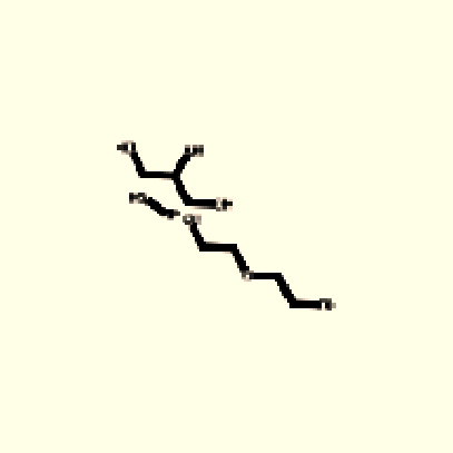 CC(C)O.OCC(O)CO.OCCOCCO